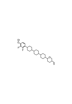 C=CC1CCC(C2CCC(C3CCC(C4CCC(c5ccc(OCC)c(F)c5F)CC4)CC3)CC2)OC1